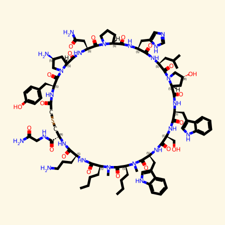 CCCC[C@H]1C(=O)N(C)[C@@H](CCCC)C(=O)N[C@@H](CCCN)C(=O)N[C@H](C(=O)NCC(N)=O)CSCC(=O)N[C@@H](Cc2ccc(O)cc2)C(=O)N2C[C@@H](N)C[C@H]2C(=O)N[C@@H](CC(N)=O)C(=O)N2CCC[C@H]2C(=O)N[C@@H](Cc2cnc[nH]2)C(=O)N[C@@H](CC(C)C)C(=O)N2C[C@H](O)C[C@H]2C(=O)N[C@@H](Cc2c[nH]c3ccccc23)C(=O)N[C@@H](CO)C(=O)N[C@@H](Cc2c[nH]c3ccccc23)C(=O)N1C